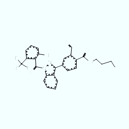 CCCCOC(=O)c1ccc(-c2nn(C(=O)c3c(Cl)cccc3C(F)(F)F)c3ccccc23)cc1C=O